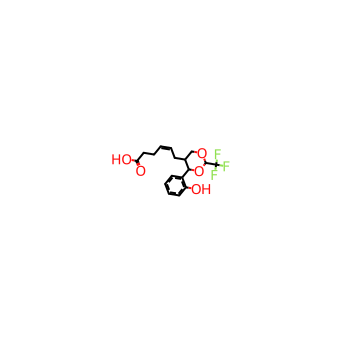 O=C(O)CC/C=C\CC1COC(C(F)(F)F)OC1c1ccccc1O